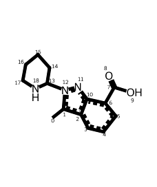 Cc1c2cccc(C(=O)O)c2nn1C1CCCCN1